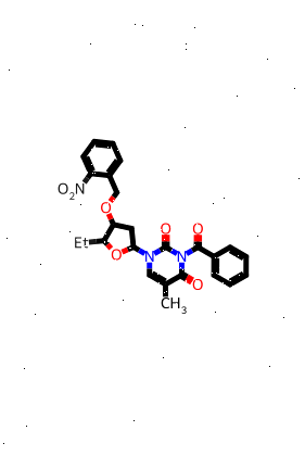 CCC1OC(n2cc(C)c(=O)n(C(=O)c3ccccc3)c2=O)CC1OCc1ccccc1[N+](=O)[O-]